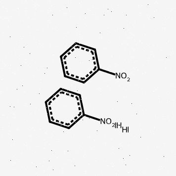 I.I.O=[N+]([O-])c1ccccc1.O=[N+]([O-])c1ccccc1